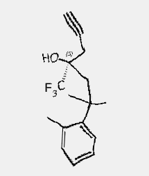 C#CC[C@](O)(CC(C)(C)c1ccccc1C)C(F)(F)F